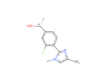 C[C@@H](O)c1ccc(-c2nc(C(F)(F)F)cn2C)c(F)c1